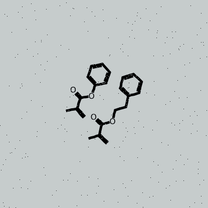 C=C(C)C(=O)OCCc1ccccc1.C=C(C)C(=O)Oc1ccccc1